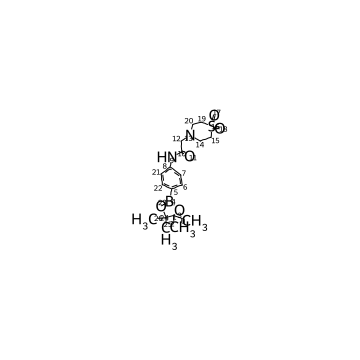 CC1(C)OB(c2ccc(NC(=O)CN3CCS(=O)(=O)CC3)cc2)OC1(C)C